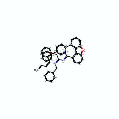 C=C/C=C\c1ccccc1CC(=N/Cc1ccccc1)/N=C(\N)c1cccc2oc3cccc(-c4ccc(-c5ccccc5)cc4)c3c12